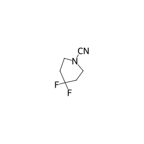 N#CN1CCC(F)(F)CC1